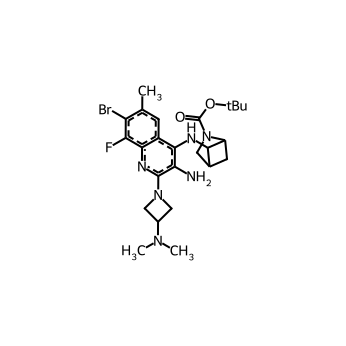 Cc1cc2c(NC3C4CC3N(C(=O)OC(C)(C)C)C4)c(N)c(N3CC(N(C)C)C3)nc2c(F)c1Br